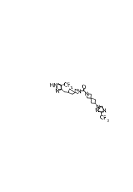 O=C(N1CC2(CC(Cc3n[nH]cc3C(F)(F)F)C2)C1)N1CC2(CC(n3cnc(C(F)(F)F)n3)C2)C1